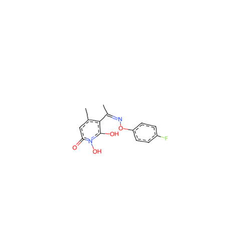 C/C(=N/Oc1ccc(F)cc1)c1c(C)cc(=O)n(O)c1O